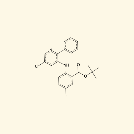 Cc1ccc(Nc2cc(Cl)cnc2-c2ccccc2)c(C(=O)OC(C)(C)C)c1